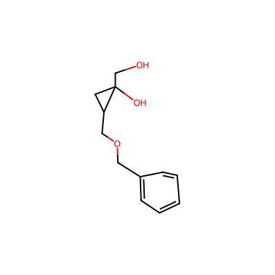 OCC1(O)CC1COCc1ccccc1